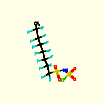 O=S(=O)(Cl)NS(=O)(=O)C(F)(F)C(F)(F)C(F)(F)C(F)(F)C(F)(F)C(F)(F)C(F)(F)C(F)(F)F